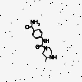 CC1CN(C(=O)Nc2ccc(C(N)=O)cc2)CCN1